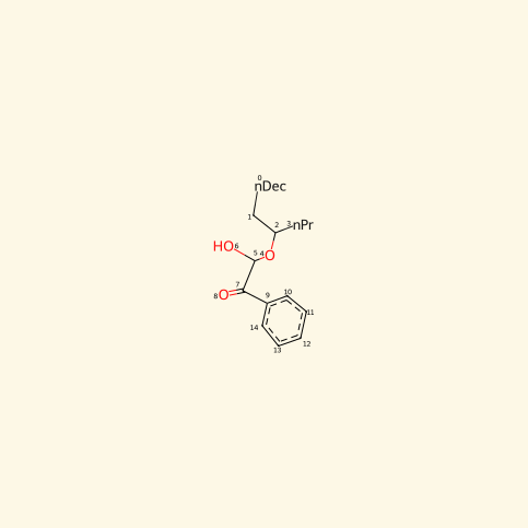 CCCCCCCCCCCC(CCC)OC(O)C(=O)c1ccccc1